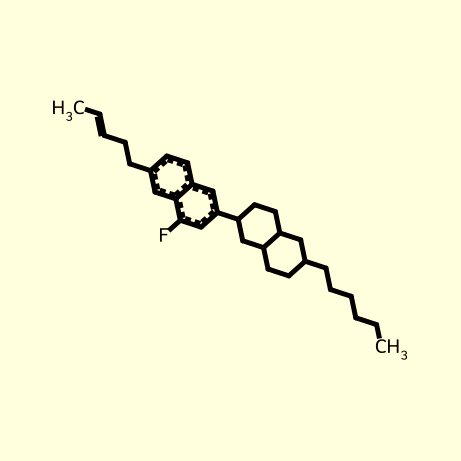 C/C=C/CCc1ccc2cc(C3CCC4CC(CCCCCC)CCC4C3)cc(F)c2c1